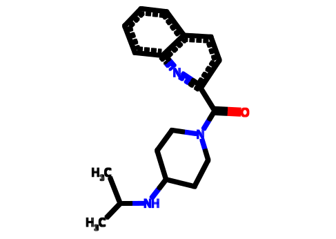 CC(C)NC1CCN(C(=O)c2ccc3ccccc3n2)CC1